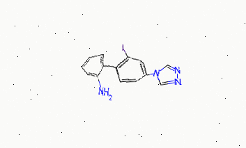 Nc1ccccc1-c1ccc(-n2cnnc2)cc1I